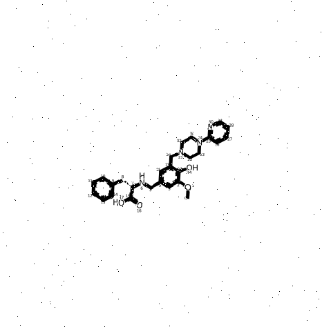 COc1cc(CN[C@@H](Cc2ccccc2)C(=O)O)cc(CN2CCN(c3ccccn3)CC2)c1O